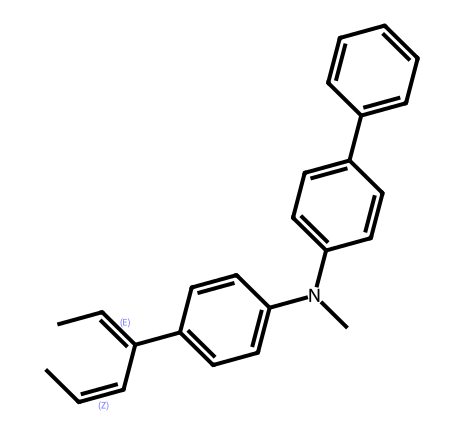 C/C=C\C(=C/C)c1ccc(N(C)c2ccc(-c3ccccc3)cc2)cc1